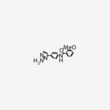 COc1ccccc1C(=O)Nc1ccc(-c2ccnc(N)n2)cc1